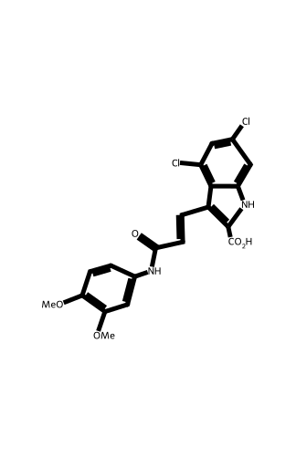 COc1ccc(NC(=O)/C=C/c2c(C(=O)O)[nH]c3cc(Cl)cc(Cl)c23)cc1OC